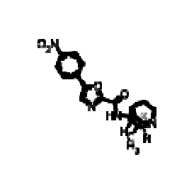 C[C@H]1[C@H](NC(=O)c2ncc(-c3ccc([N+](=O)[O-])cc3)o2)C2CCN1CC2